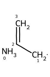 N.[CH2]C=C